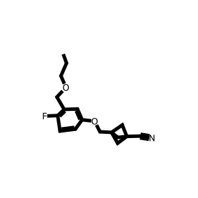 CCCOCc1cc(OCC23CC(C#N)(C2)C3)ccc1F